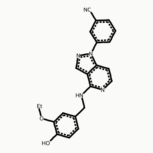 CCOc1cc(CNc2nccc3c2cnn3-c2cccc(C#N)c2)ccc1O